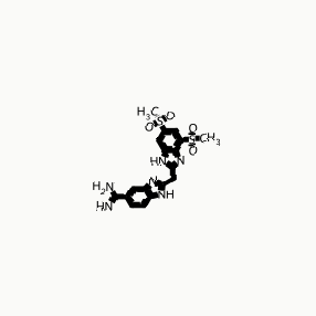 CS(=O)(=O)c1cc(S(C)(=O)=O)c2nc(Cc3nc4cc(C(=N)N)ccc4[nH]3)[nH]c2c1